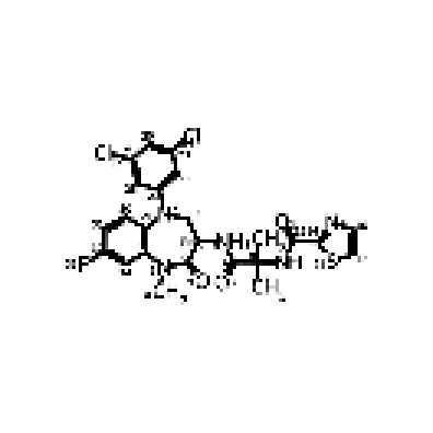 CN1C(=O)[C@H](NC(=O)C(C)(C)NC(=O)c2nccs2)CN(c2cc(Cl)cc(Cl)c2)c2ccc(F)cc21